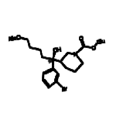 COCCCC[C@@](O)(c1cccc(Br)c1)C1CCCN(C(=O)OC(C)(C)C)C1